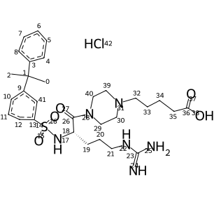 CC(C)(c1ccccc1)c1cccc(S(=O)(=O)N[C@@H](CCCNC(=N)N)C(=O)N2CCN(CCCCC(=O)O)CC2)c1.Cl